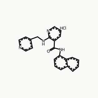 Cl.O=C(Nc1cccc2ccccc12)c1cccnc1NCc1ccncc1